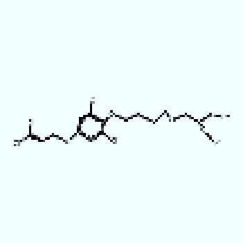 CC(C)OC(COCCCCOc1c(Cl)cc(OCC=C(Cl)Cl)cc1Cl)OC(C)C